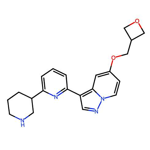 c1cc(-c2cnn3ccc(OCC4COC4)cc23)nc(C2CCCNC2)c1